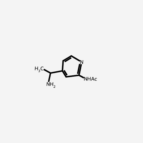 CC(=O)Nc1cc(C(C)N)ccn1